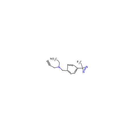 C#CCN(CC(=O)O)Cc1ccc(C2(C(F)(F)F)N=N2)cc1